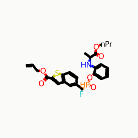 C=CCOC(=O)c1cc2cc([C@@H](F)[PH](=O)Oc3ccccc3NC(C)C(=O)OCCC)ccc2s1